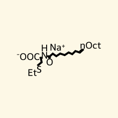 CCCCCCCC/C=C\CCCCCCCC(=O)N[C@@H](CCSCC)C(=O)[O-].[Na+]